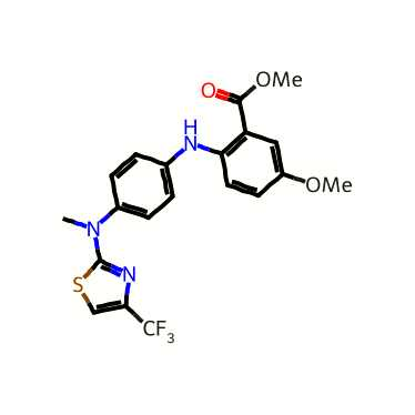 COC(=O)c1cc(OC)ccc1Nc1ccc(N(C)c2nc(C(F)(F)F)cs2)cc1